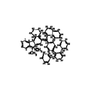 CC1(C)c2ccccc2-c2ccc(N(c3ccc(-c4c(-c5ccccc5)cccc4-c4ccccc4)cc3)c3c(C4CCCCC4)ccc4ccccc34)cc21